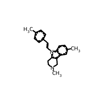 Cc1ccc(C=Cn2c3c(c4cc(C)ccc42)CN(C)CC3)cc1